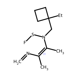 C=N/C(C)=C(/C)N(CC1(CC)CCC1)SF